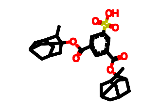 CC1C2CC3CC(C2)CC1(OC(=O)c1cc(C(=O)OC2(C)C4CC5CC(C4)CC2C5)cc(S(=O)(=O)O)c1)C3